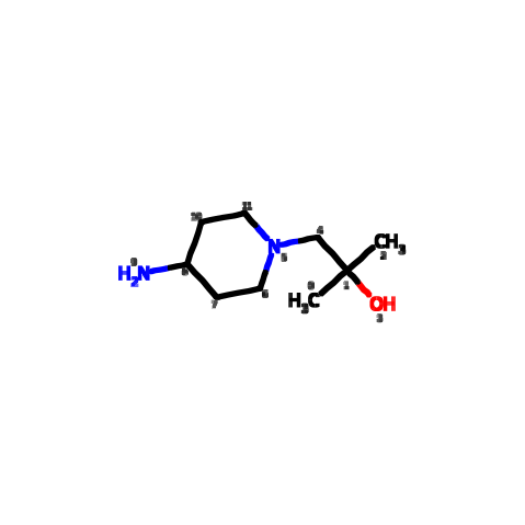 CC(C)(O)CN1CCC(N)CC1